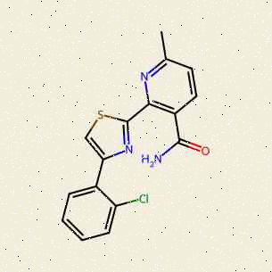 Cc1ccc(C(N)=O)c(-c2nc(-c3ccccc3Cl)cs2)n1